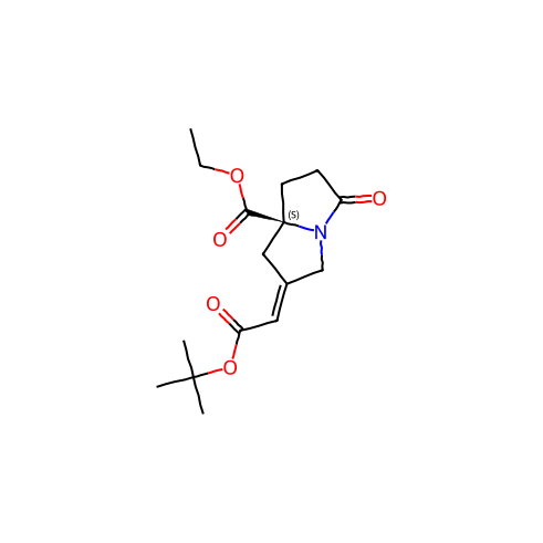 CCOC(=O)[C@@]12CCC(=O)N1CC(=CC(=O)OC(C)(C)C)C2